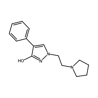 Oc1nn(CCN2CCCC2)cc1-c1ccccc1